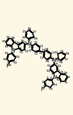 FC1=CC=C(n2c3ccccc3c3cc(N(c4ccc(-c5ccc(N(c6ccccc6)c6ccc7c(c6)c6ccccc6n7-c6ccc(F)cc6)cc5)cc4)C4C=CC=CC4)ccc32)CC1